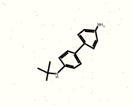 CC(C)(C)Nc1ccc(-c2ccc(N)cc2)cc1